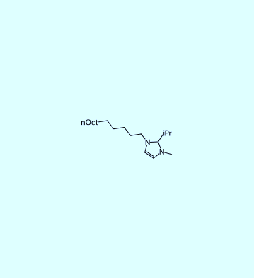 CCCCCCCCCCCCCN1C=CN(C)C1C(C)C